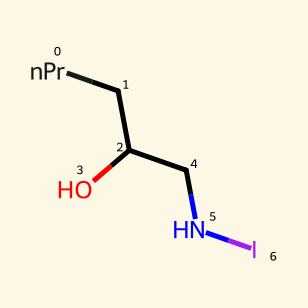 CCCCC(O)CNI